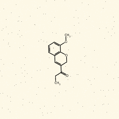 CCC(=O)C1=Cc2cccc(OC)c2OC1